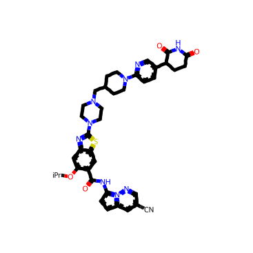 CC(C)Oc1cc2nc(N3CCN(CC4CCN(c5ccc(C6CCC(=O)NC6=O)cn5)CC4)CC3)sc2cc1C(=O)Nc1ccc2cc(C#N)cnn12